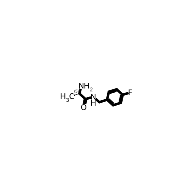 C[C@H](N)C(=O)NCc1ccc(F)cc1